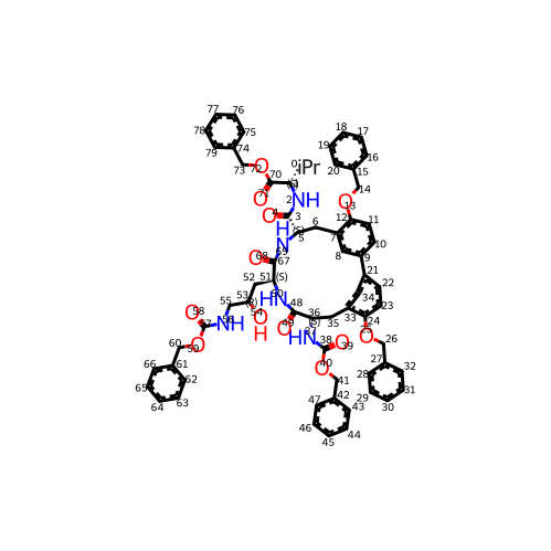 CC(C)[C@H](NC(=O)[C@@H]1Cc2cc(ccc2OCc2ccccc2)-c2ccc(OCc3ccccc3)c(c2)C[C@H](NC(=O)OCc2ccccc2)C(=O)N[C@@H](C[C@@H](O)CNC(=O)OCc2ccccc2)C(=O)N1)C(=O)OCc1ccccc1